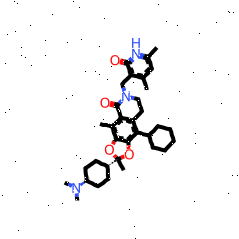 Cc1cc(C)c(CN2CCc3c(c(C)c4c(c3C3CCCCC3)OC(C)([C@H]3CC[C@H](N(C)C)CC3)O4)C2=O)c(=O)[nH]1